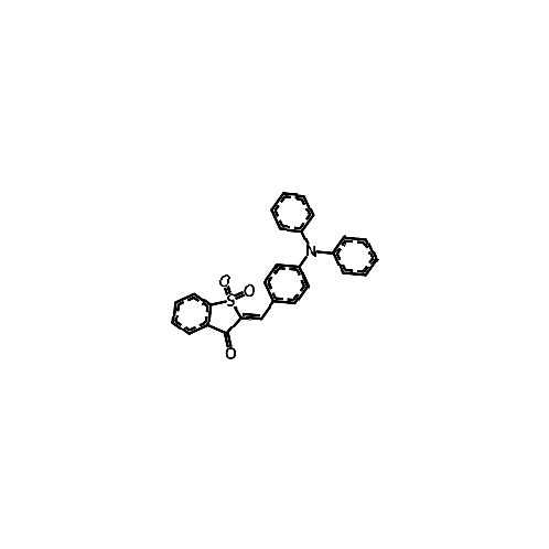 O=C1C(=Cc2ccc(N(c3ccccc3)c3ccccc3)cc2)S(=O)(=O)c2ccccc21